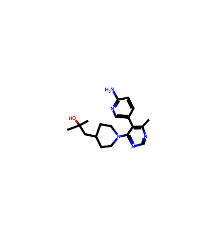 Cc1ncnc(N2CCC(CC(C)(C)O)CC2)c1-c1ccc(N)nc1